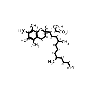 Cc1c(C)c2c(c(C)c1O)CC[C@@](C)(CCCC(C)CCCC(C)CCCC(C)C)O2.O=C(O)CC(=O)O